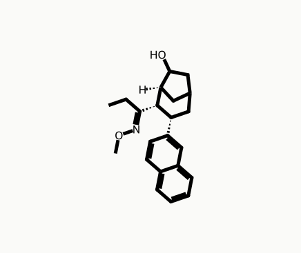 CCC(=NOC)[C@H]1[C@@H](c2ccc3ccccc3c2)CC2CC(O)[C@H]1C2